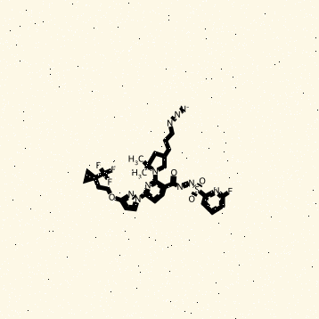 CC1(C)CC(CCCN=[N+]=[N-])CN1c1nc(-n2ccc(OCCC3(C(F)(F)F)CC3)n2)ccc1C(=O)N=NS(=O)(=O)c1cccc(F)n1